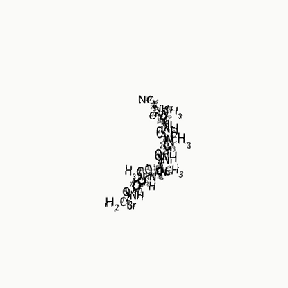 C=C(Br)C(=O)Nc1ccc2c(c1)cc(C(=O)Nc1cc(C(=O)Nc3cc(C(=O)Nc4cc(C(=O)NCCC#N)n(C)c4)n(C)c3)n(C)c1)n2C